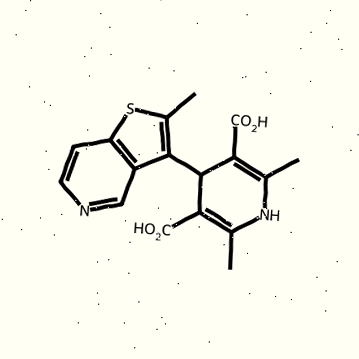 CC1=C(C(=O)O)C(c2c(C)sc3ccncc23)C(C(=O)O)=C(C)N1